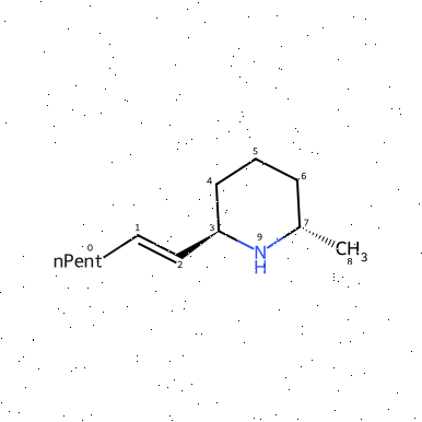 CCCCCC=C[C@H]1CCC[C@H](C)N1